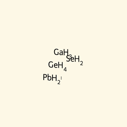 [GaH3].[GeH4].[PbH2].[SeH2]